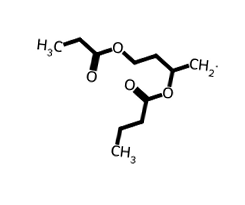 [CH2]C(CCOC(=O)CC)OC(=O)CCC